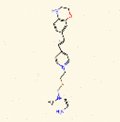 CN(/C=C\N)CSCC[n+]1ccc(/C=C/c2ccc3c(c2)OCCN3)cc1